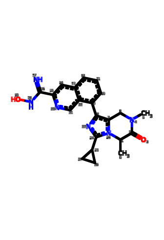 CC1C(=O)N(C)Cc2c(-c3cccc4cc(C(=N)NO)ncc34)nc(C3CC3)n21